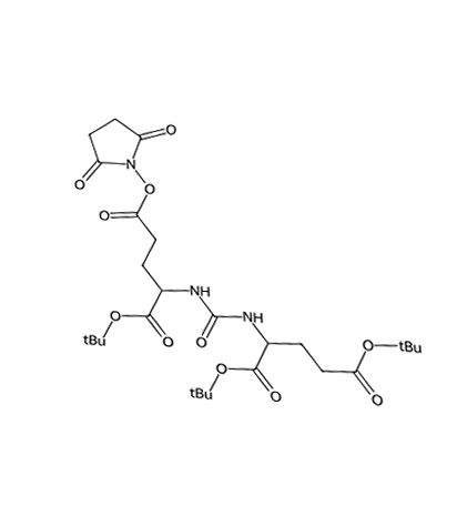 CC(C)(C)OC(=O)CCC(NC(=O)NC(CCC(=O)ON1C(=O)CCC1=O)C(=O)OC(C)(C)C)C(=O)OC(C)(C)C